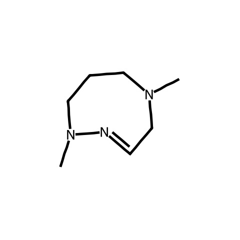 CN1C/C=N/N(C)CCC1